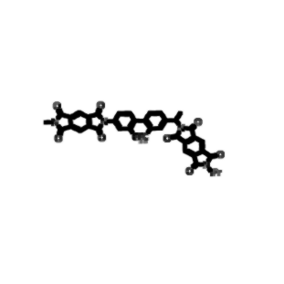 CC(C)n1c(=O)c2cc3c(=O)n(C(C)c4ccc(-c5ccc(-n6c(=O)c7cc8c(=O)n(C)c(=O)c8cc7c6=O)cc5C(F)(F)F)c(C(F)(F)F)c4)c(=O)c3cc2c1=O